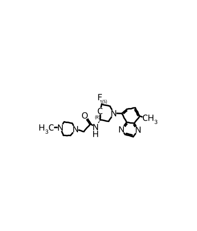 Cc1ccc(N2C[C@@H](F)C[C@@H](NC(=O)CN3CCN(C)CC3)C2)c2nccnc12